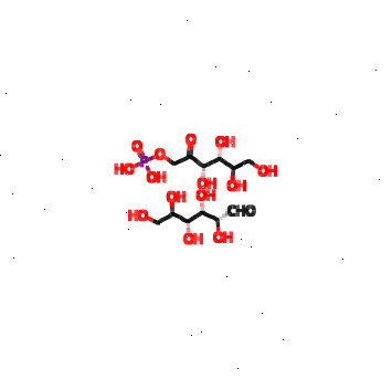 O=C(COP(=O)(O)O)[C@@H](O)[C@H](O)[C@H](O)CO.O=C[C@H](O)[C@@H](O)[C@H](O)[C@H](O)CO